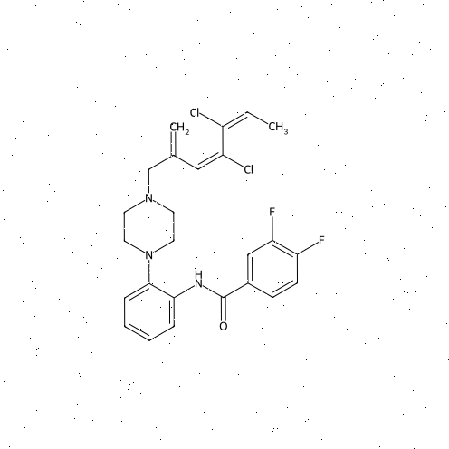 C=C(/C=C(Cl)\C(Cl)=C/C)CN1CCN(c2ccccc2NC(=O)c2ccc(F)c(F)c2)CC1